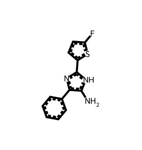 Nc1[nH]c(-c2ccc(F)s2)nc1-c1ccccc1